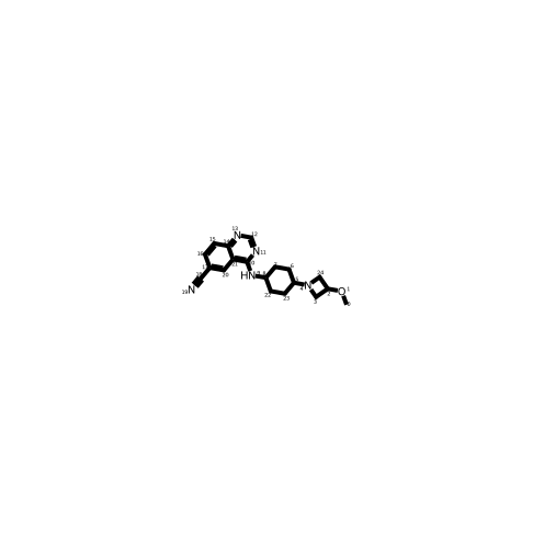 COC1CN(C2CCC(Nc3ncnc4ccc(C#N)cc34)CC2)C1